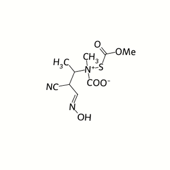 COC(=O)S[N+](C)(C(=O)[O-])C(C)C(C#N)C=NO